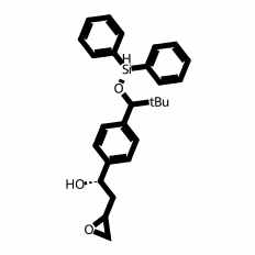 CC(C)(C)C(O[SiH](c1ccccc1)c1ccccc1)c1ccc([C@@H](O)CC2CO2)cc1